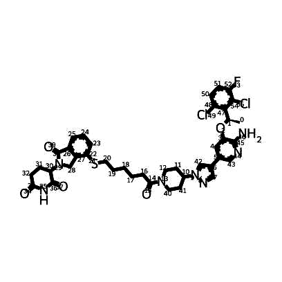 C[C@@H](Oc1cc(-c2cnn(C3CCN(C(=O)CCCCCSc4cccc5c4CN(C4CCC(=O)NC4=O)C5=O)CC3)c2)cnc1N)c1c(Cl)ccc(F)c1Cl